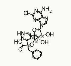 Nc1nc(Cl)nc2c1ncn2[C@@H]1O[C@@H]2[C@H](O[C@](Cc3ccccc3)(C(=O)O)c3nc[nH]n3)[C@]2(O)[C@H]1O